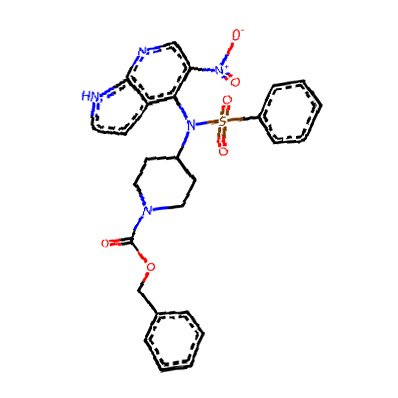 O=C(OCc1ccccc1)N1CCC(N(c2c([N+](=O)[O-])cnc3[nH]ccc23)S(=O)(=O)c2ccccc2)CC1